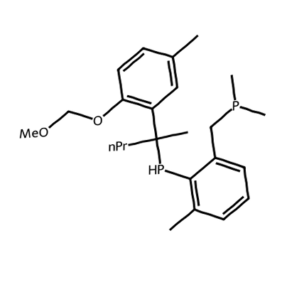 CCCC(C)(Pc1c(C)cccc1CP(C)C)c1cc(C)ccc1OCOC